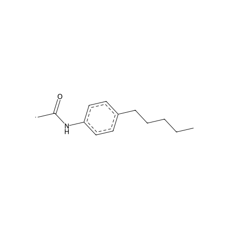 [CH2]C(=O)Nc1ccc(CCCCC)cc1